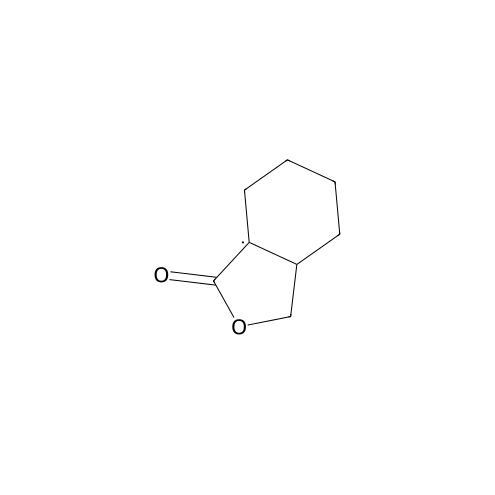 O=C1OCC2CCCC[C]12